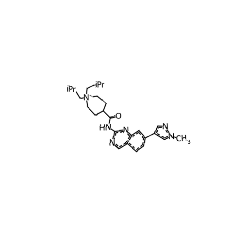 CC(C)C[N+]1(CC(C)C)CCC(C(=O)Nc2ncc3ccc(-c4cnn(C)c4)cc3n2)CC1